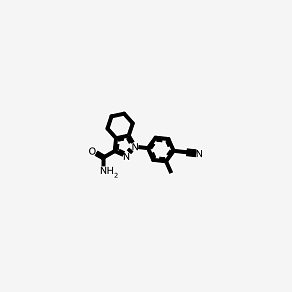 Cc1cc(-n2nc(C(N)=O)c3c2CCCC3)ccc1C#N